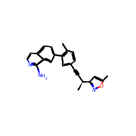 Cc1cc([C@@H](C)C#Cc2ccc(C)c(-c3ccc4ccnc(N)c4c3)c2)no1